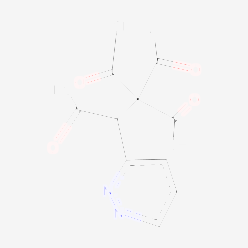 CC(=O)C(c1cccnn1)C(C(C)=O)(C(C)=O)C(C)=O